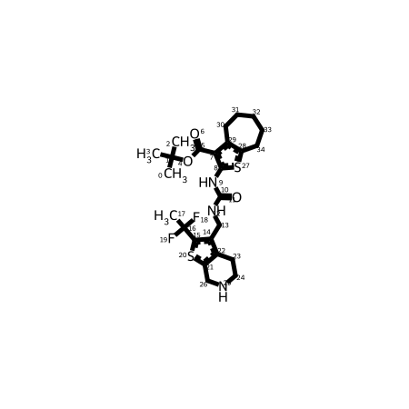 CC(C)(C)OC(=O)c1c(NC(=O)NCc2c(C(C)(F)F)sc3c2CCNC3)sc2c1CCCCC2